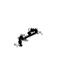 Cc1ncsc1-c1ccc(CNC(=O)[C@@H]2C[C@@H](O)CN2C(=O)[C@@H](NC(=O)CCOCCOCCOCCOCCN(C)c2cncc(C3C=NC(Cl)=C(/C=C/c4ccccc4)C3C)c2)C(C)(C)C)cc1